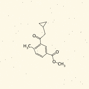 COC(=O)c1ccc(C)c(C(=O)CC2CC2)c1